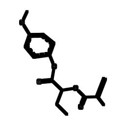 C=C(C)C(=O)OC(CC)C(=O)Oc1ccc(OC)cc1